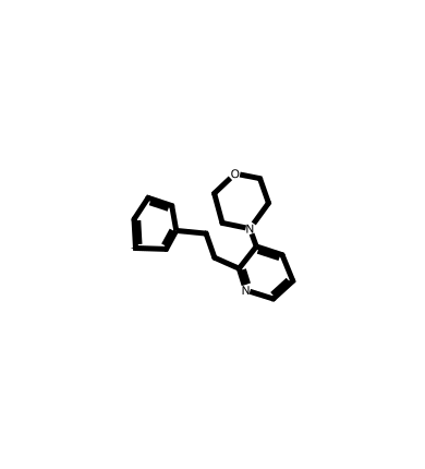 [c]1cccc(CCc2ncccc2N2CCOCC2)c1